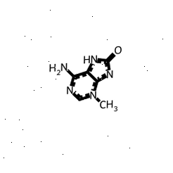 Cn1cnc(N)c2[nH]c(=O)nc1-2